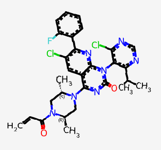 C=CC(=O)N1C[C@H](C)N(c2nc(=O)n(-c3c(Cl)ncnc3C(C)C)c3nc(-c4ccccc4F)c(Cl)cc23)C[C@H]1C